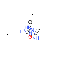 c1ccc(CNc2nc(-n3c(C4COCCN4)cc4ccccc43)nc3c2CNCC3)cc1